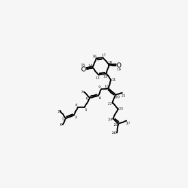 CC(C)=CCC/C(C)=C/C/C(CC1=CC(=O)C=CC1=O)=C(/C)CCC=C(C)C